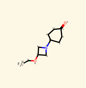 O=C1CCC(N2CC(OCC(F)(F)F)C2)CC1